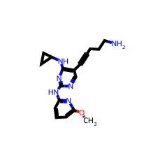 COc1cccc(Nc2ncc(C#CCCCN)c(NC3CC3)n2)n1